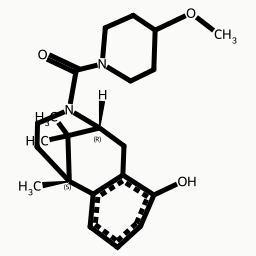 COC1CCN(C(=O)N2CC[C@@]3(C)c4cccc(O)c4C[C@@H]2C3(C)C)CC1